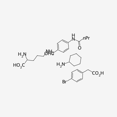 CCCC(=O)Nc1ccc(C=O)cc1.NC1CCCCC1.NCCCC(N)C(=O)O.O=C(O)Cc1ccc(Br)cc1